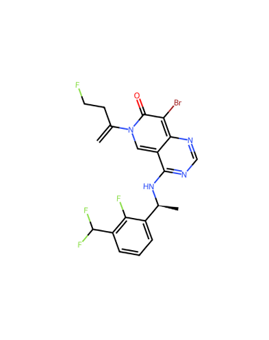 C=C(CCF)n1cc2c(N[C@@H](C)c3cccc(C(F)F)c3F)ncnc2c(Br)c1=O